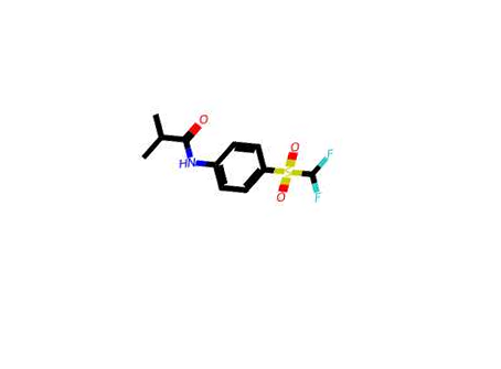 CC(C)C(=O)Nc1ccc(S(=O)(=O)C(F)F)cc1